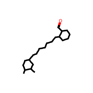 CC1CCC(CCCCCCCC2CCCCC2C=O)CC1C